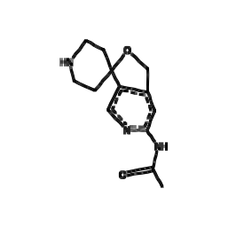 CC(=O)Nc1cc2c(cn1)C1(CCNCC1)OC2